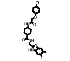 O=C(COc1ccc(Cl)cc1)NC1CCC(C(=O)NCc2nc3cc(F)c(F)cc3[nH]2)CC1